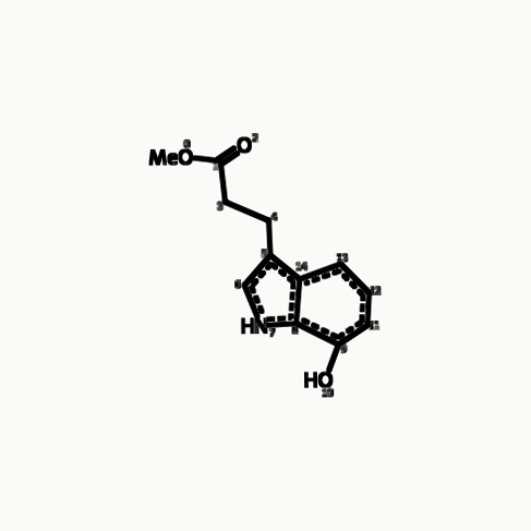 COC(=O)CCc1c[nH]c2c(O)cccc12